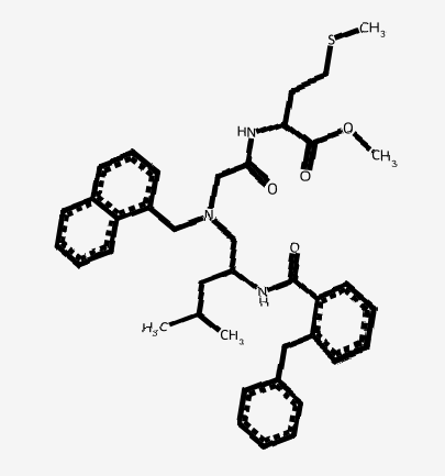 COC(=O)C(CCSC)NC(=O)CN(Cc1cccc2ccccc12)CC(CC(C)C)NC(=O)c1ccccc1Cc1ccccc1